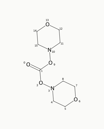 O=C(ON1CCOCC1)ON1CCOCC1